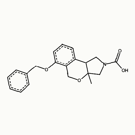 CC12CN(C(=O)O)CC1c1cccc(OCc3ccccc3)c1CO2